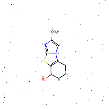 O=C(O)c1cn2c3c(sc2n1)C(O)CCC3